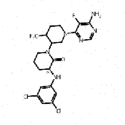 Nc1ncnc(N2CCC(C(F)(F)F)C(N3CCC[C@H](Nc4cc(Cl)cc(Cl)c4)C3=O)C2)c1F